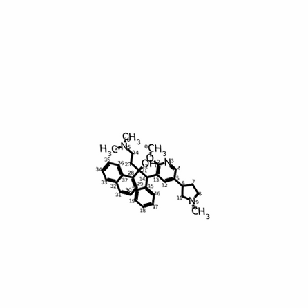 COc1ncc(C2CCN(C)C2)cc1C(c1ccccc1)C(O)(CCN(C)C)c1cccc2ccccc12